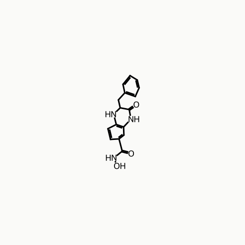 O=C(NO)c1ccc2c(c1)NC(=O)C(Cc1ccccc1)N2